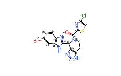 O=C(c1nc(Cl)cs1)N1CCc2[nH]cnc2[C@H]1c1nc2ccc(Br)cc2[nH]1